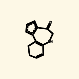 O=C1CNC2=C(CCC=C2)n2cccc21